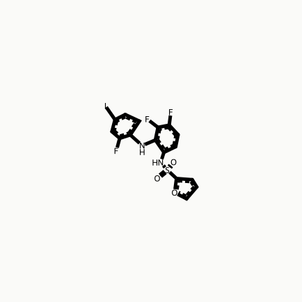 O=S(=O)(Nc1ccc(F)c(F)c1Nc1ccc(I)cc1F)c1ccco1